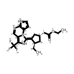 CCOC(=O)C[C@H]1C/C(=C2/NC(C(F)(F)F)=C3C=Nc4[nH]ccc4N32)[C@H](CC)C1